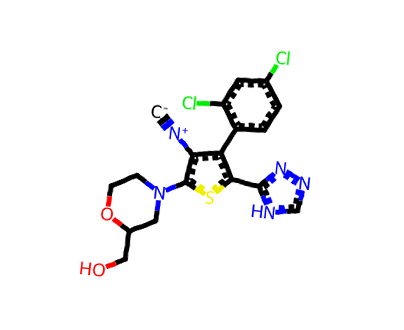 [C-]#[N+]c1c(N2CCOC(CO)C2)sc(-c2nnc[nH]2)c1-c1ccc(Cl)cc1Cl